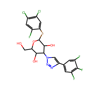 OCC1OC(Sc2cc(Cl)c(Cl)cc2F)C(O)C(n2cc(-c3cc(F)c(F)c(F)c3)nn2)C1O